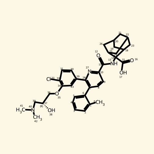 Cc1ccccc1-c1ccc(C(=O)NC2(C(=O)O)C3CC4CC(C3)CC2C4)nc1-c1ccc(Cl)c(OC[C@H](O)CN(C)C)c1